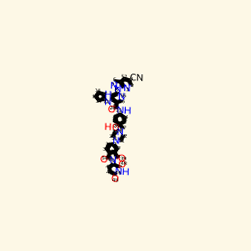 N#Cc1cnc2c(cnn2-c2cc(NC3CCCC3)c(C(=O)N[C@H]3CC[C@](O)(CN4CCN(c5ccc6c(c5)C(=O)N(C5CCC(=O)NC5=O)C6=O)CC4)CC3)cn2)c1